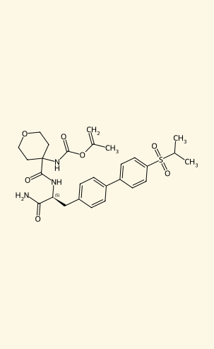 C=C(C)OC(=O)NC1(C(=O)N[C@@H](Cc2ccc(-c3ccc(S(=O)(=O)C(C)C)cc3)cc2)C(N)=O)CCOCC1